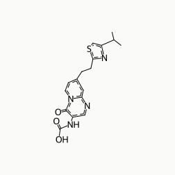 CC(C)c1csc(CCc2ccn3c(=O)c(NC(=O)O)cnc3c2)n1